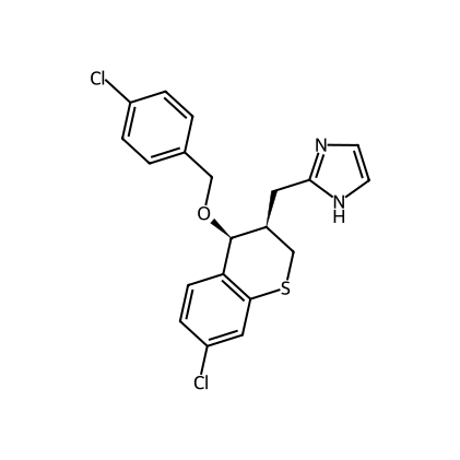 Clc1ccc(CO[C@@H]2c3ccc(Cl)cc3SC[C@@H]2Cc2ncc[nH]2)cc1